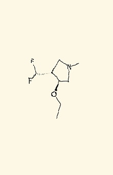 CCO[C@@H]1CN(C)C[C@H]1C(F)F